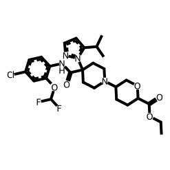 CCOC(=O)C1CCC(N2CCC(C(=O)Nc3ccc(Cl)cc3OC(F)F)(n3nccc3C(C)C)CC2)CO1